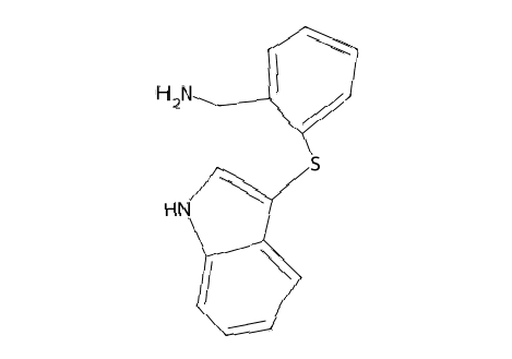 NCc1ccccc1Sc1c[nH]c2ccccc12